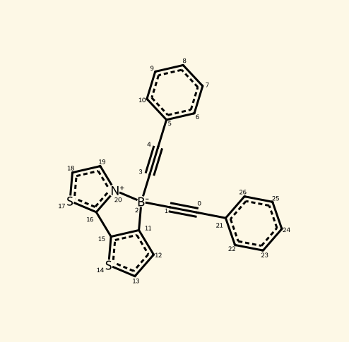 C(#C[B-]1(C#Cc2ccccc2)c2ccsc2-c2scc[n+]21)c1ccccc1